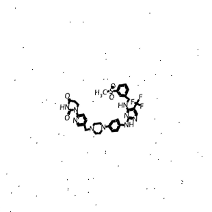 CS(=O)(=O)c1cccc(CNc2nc(Nc3ccc(N4CCN(Cc5ccc(N6CCC(=O)NC6=O)nc5)CC4)cc3)ncc2C(F)(F)F)c1